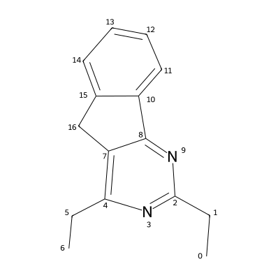 CCc1nc(CC)c2c(n1)-c1ccccc1C2